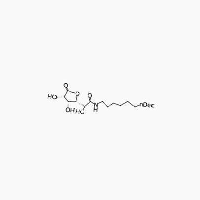 CCCCCCCCCCCCCCCCNC(=O)C(O)[C@H]1OC(=O)[C@@H](O)[C@H]1O